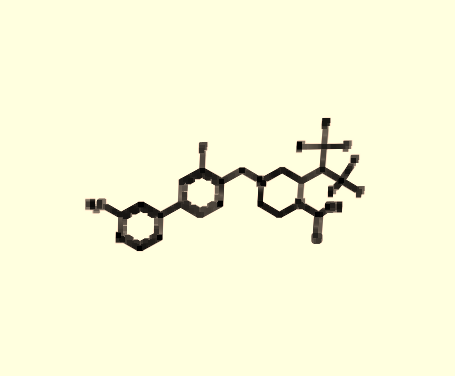 Cc1cc(-c2ccc(CN3CCN(C(=O)O)C(C(C(F)(F)F)C(F)(F)F)C3)c(F)c2)ccn1